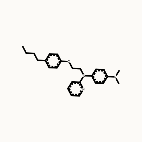 CCCCc1ccc(OCCN(c2ccc(N(C)C)cc2)c2ccccn2)cc1